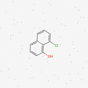 Oc1cccc2cccc(Cl)c12